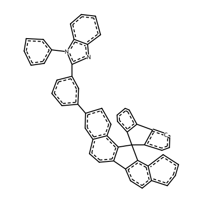 c1ccc(-n2c(-c3cccc(-c4ccc5c6c(ccc5c4)-c4ccc5ccccc5c4C64c5ccccc5-c5ccccc54)c3)nc3ccccc32)cc1